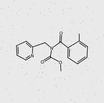 COC(=O)N(Cc1ccccn1)C(=O)c1ccccc1C